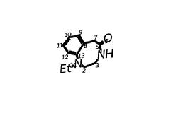 CCN1CCNC(=O)Cc2ccccc21